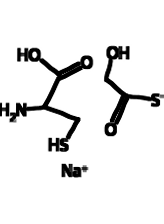 NC(CS)C(=O)O.O=C([S-])CO.[Na+]